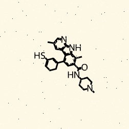 Cc1cnc2[nH]c3c(C)c(C(=O)NC4CCN(C)CC4)cc(C4=CC(S)=CCC4)c3c2c1